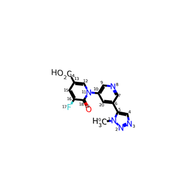 Cn1nncc1-c1cncc(-n2cc(C(=O)O)cc(F)c2=O)c1